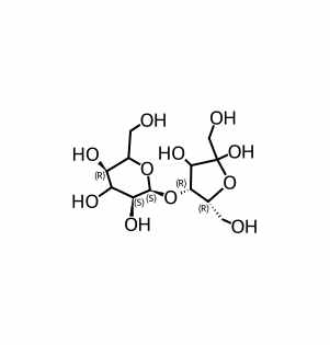 OCC1O[C@@H](O[C@@H]2C(O)C(O)(CO)O[C@@H]2CO)[C@@H](O)C(O)[C@H]1O